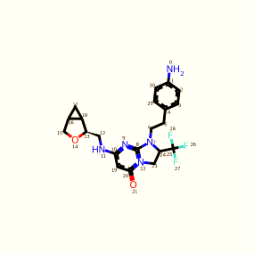 Nc1ccc(CCN2c3nc(NC[C@H]4OCC5CC54)cc(=O)n3CC2C(F)(F)F)cc1